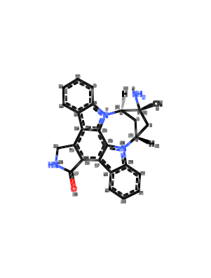 N#C[C@@]1(N)C[C@H]2C[C@H]1n1c3ccccc3c3c4c(c5c6ccccc6n2c5c31)C(=O)NC4